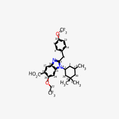 CC1CC(n2c(Cc3ccc(OC(F)(F)F)cc3)nc3cc(C(=O)O)c(OCC(F)(F)F)cc32)CC(C)(C)C1